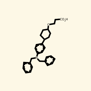 O=C(O)CCOC1CCC(c2ccc(N(Cc3ccccc3)Cc3ccccc3)cc2)CC1